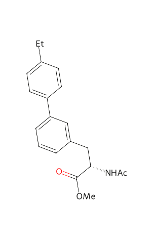 CCc1ccc(-c2cccc(C[C@H](NC(C)=O)C(=O)OC)c2)cc1